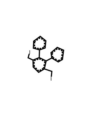 ICc1ccc(CI)c(-c2ccccc2)c1-c1ccccc1